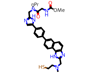 CCCN(Cc1ncc(-c2ccc(-c3ccc4c(ccc5nc(CN(C)CCS)[nH]c54)c3)cc2)[nH]1)C(=O)CNC(=O)OC